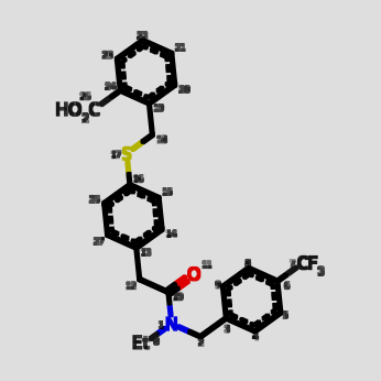 CCN(Cc1ccc(C(F)(F)F)cc1)C(=O)Cc1ccc(SCc2ccccc2C(=O)O)cc1